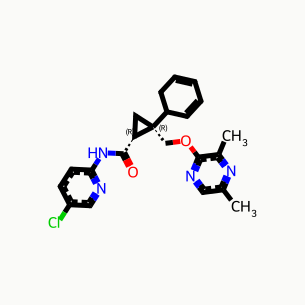 Cc1cnc(OC[C@@]2(C3C=CC=CC3)C[C@H]2C(=O)Nc2ccc(Cl)cn2)c(C)n1